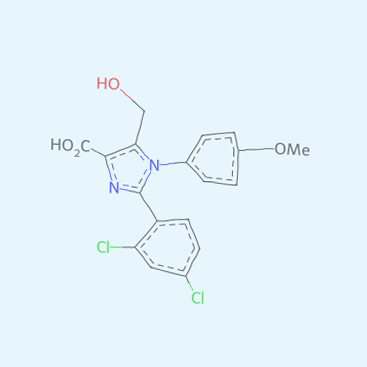 COc1ccc(-n2c(-c3ccc(Cl)cc3Cl)nc(C(=O)O)c2CO)cc1